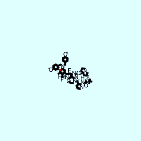 COc1ccc(CN(Cc2ccc(OC)cc2)c2cc(-c3nc4c5c(nc(OC[C@@]67CCCN6C[C@H](F)C7)nc5c3F)N([C@H](C)c3cccnc3NC(=O)OC(C)(C)C)CCO4)c(C(F)(F)F)c(C)c2F)cc1